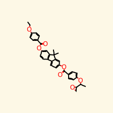 CCOc1ccc(C(=O)Oc2ccc3c(c2)C(C)(C)c2cc(OC(=O)c4ccc(OC(C)C5CO5)cc4)ccc2-3)cc1